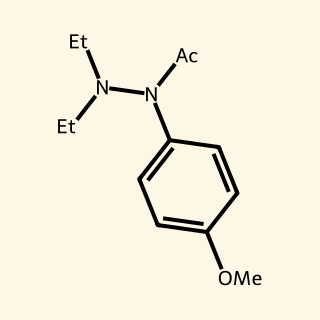 CCN(CC)N(C(C)=O)c1ccc(OC)cc1